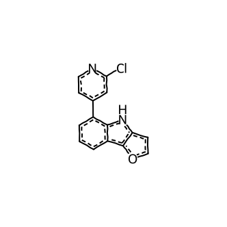 Clc1cc(-c2cccc3c2[nH]c2ccoc23)ccn1